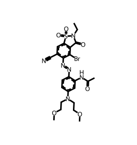 CCN1C(=O)c2c(cc(C#N)c(/N=N/c3ccc(N(CCOC)CCOC)cc3NC(C)=O)c2Br)S1(=O)=O